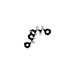 O=C(Nc1ccccc1)Nc1cnc2ccc(Nc3ccccc3)nc2n1